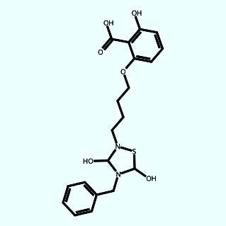 O=C(O)c1c(O)cccc1OCCCCN1SC(O)N(Cc2ccccc2)C1O